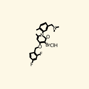 Cc1ccc(CN(C)C)cc1-n1c(C)cc(OCc2ccc(F)cc2F)c(Br)c1=O.Cl